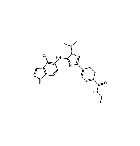 CCNC(=O)C1=CC=C(c2nc(Nc3ccc4[nH]ncc4c3Cl)n(C(C)C)n2)CC1